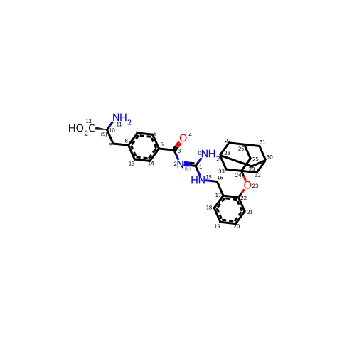 N/C(=N\C(=O)c1ccc(C[C@H](N)C(=O)O)cc1)NCc1ccccc1OC12CC3CC(CC(C3)C1)C2